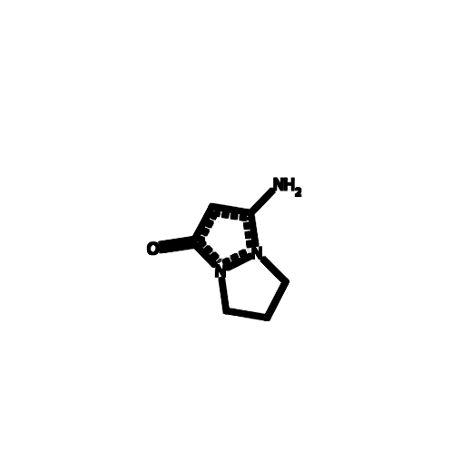 Nc1cc(=O)n2n1CCC2